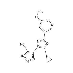 N#Cc1[nH]nnc1-c1nc(-c2cccc(OC(F)(F)F)c2)oc1C1CC1